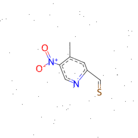 Cc1cc(C=S)ncc1[N+](=O)[O-]